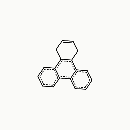 C1=CCc2c(c3ccccc3c3ccccc23)C1